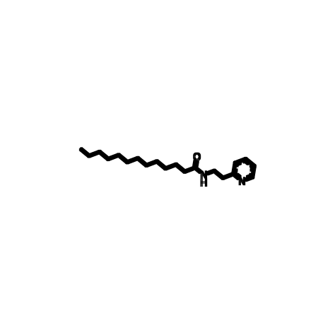 CCCCCCCCCCCCC(=O)NCCc1ccccn1